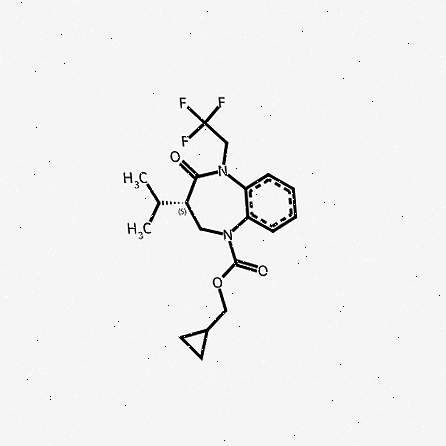 CC(C)[C@H]1CN(C(=O)OCC2CC2)c2ccccc2N(CC(F)(F)F)C1=O